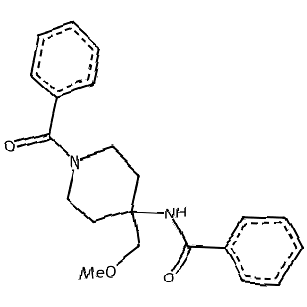 COCC1(NC(=O)c2ccccc2)CCN(C(=O)c2ccccc2)CC1